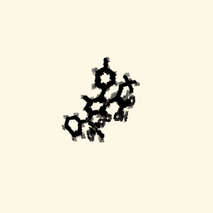 Cc1ccc(-c2c(C)cc(N(C3CCCCC3)S(C)(=O)=O)c(=O)n2C(CC(C)(C)C)C(=O)O)cc1